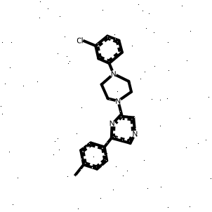 Cc1ccc(-c2cncc(N3CCN(c4cccc(Cl)c4)CC3)n2)cc1